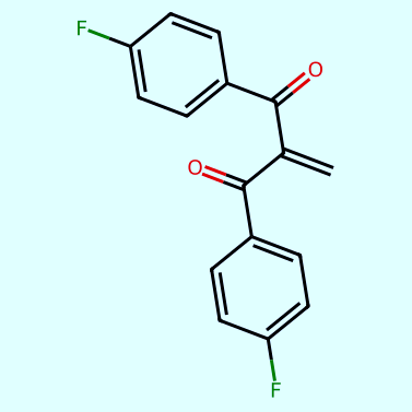 C=C(C(=O)c1ccc(F)cc1)C(=O)c1ccc(F)cc1